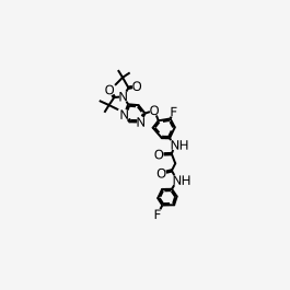 CC(C)(C)C(=O)N(C(=O)C(C)(C)C)c1cc(Oc2ccc(NC(=O)CC(=O)Nc3ccc(F)cc3)cc2F)ncn1